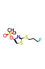 CS(=O)(=O)Oc1csc(SCCCF)n1